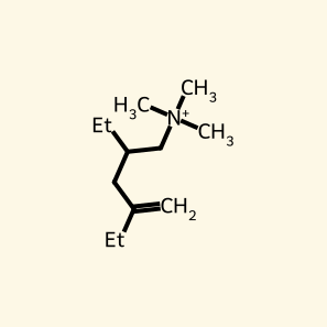 C=C(CC)CC(CC)C[N+](C)(C)C